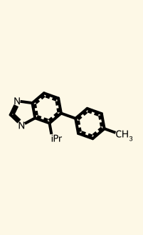 Cc1ccc(-c2ccc3c(c2C(C)C)N=C=N3)cc1